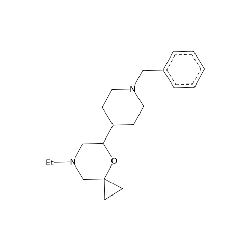 CCN1CC(C2CCN(Cc3ccccc3)CC2)OC2(CC2)C1